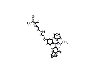 CC/C(=C(/c1ccc(OCCNC/C=C/C(=O)N(C)C)cc1)c1cc(F)c2[nH]ncc2c1)c1ccccc1